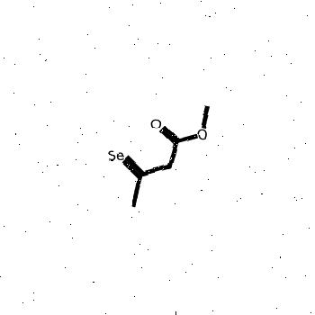 COC(=O)CC(C)=[Se]